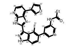 CCC(=O)Nc1cncc(-c2ccc3[nH]nc(-c4nc5c(-c6ccoc6)ccnc5[nH]4)c3c2F)c1